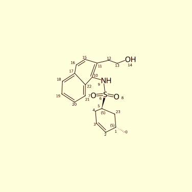 C[C@@H]1C=CC[C@@H](S(=O)(=O)Nc2c(CCO)ccc3ccccc23)C1